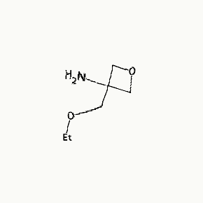 CCOCC1(N)COC1